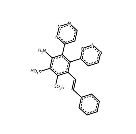 Nc1c(-c2ccnnn2)c(-c2ccnnn2)c(C=Cc2ccccc2)c(S(=O)(=O)O)c1S(=O)(=O)O